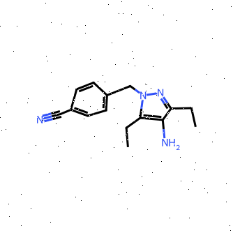 CCc1nn(Cc2ccc(C#N)cc2)c(CC)c1N